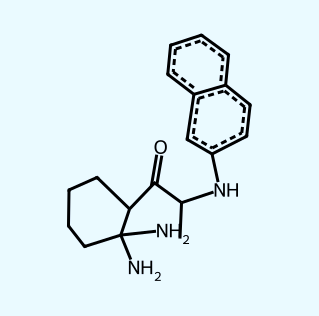 CC(Nc1ccc2ccccc2c1)C(=O)C1CCCCC1(N)N